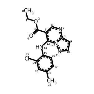 CCOC(=O)c1cnc2ccnn2c1Nc1ccc(C)cc1Cl